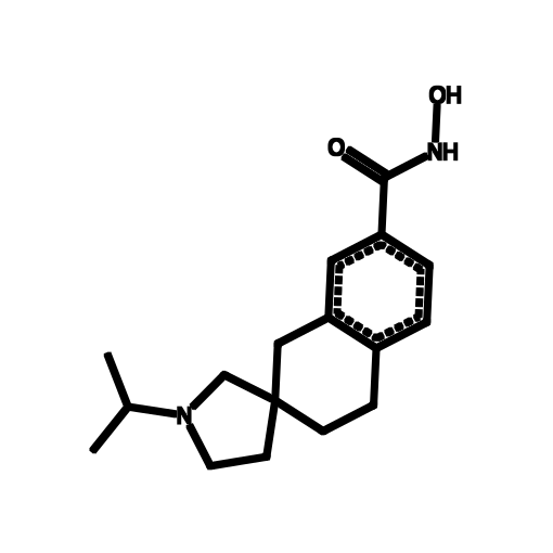 CC(C)N1CCC2(CCc3ccc(C(=O)NO)cc3C2)C1